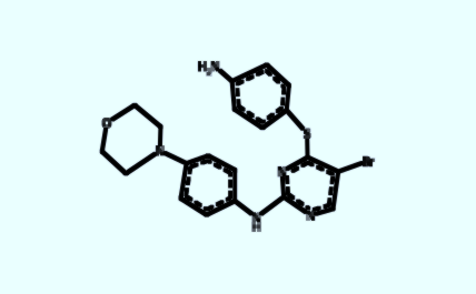 Nc1ccc(Sc2nc(Nc3ccc(N4CCOCC4)cc3)ncc2Br)cc1